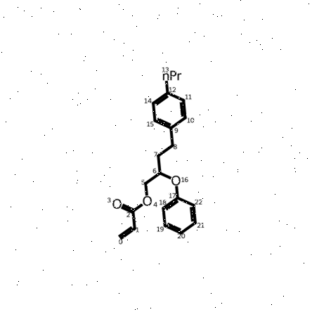 C=CC(=O)OCC(CCc1ccc(CCC)cc1)Oc1ccccc1